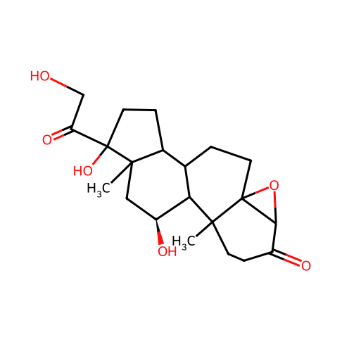 CC12C[C@H](O)C3C(CCC45OC4C(=O)CCC35C)C1CCC2(O)C(=O)CO